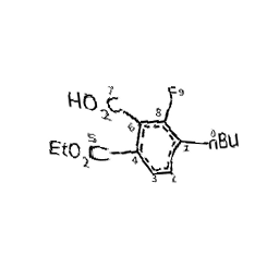 CCCCc1ccc(C(=O)OCC)c(C(=O)O)c1F